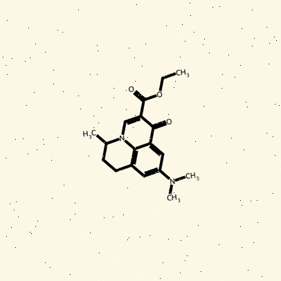 CCOC(=O)c1cn2c3c(cc(N(C)C)cc3c1=O)CCC2C